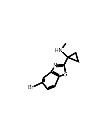 CNC1(c2nc3cc(Br)ccc3s2)CC1